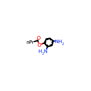 CCCC(=O)Oc1ccc(N)cc1N